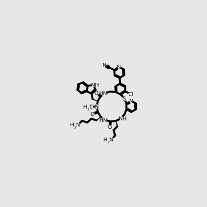 CN1C(=O)[C@H](CCCCN)NC(=O)[C@H](CCCN)NCc2cccnc2Sc2c(Cl)cc(-c3ccnc(C#N)c3)cc2CNC(=O)[C@@H]1Cc1c[nH]c2ccccc12